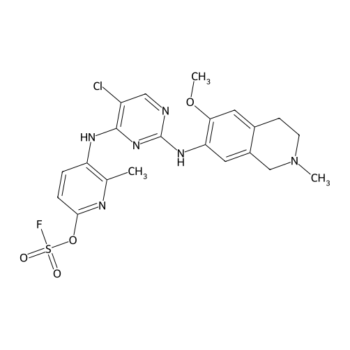 COc1cc2c(cc1Nc1ncc(Cl)c(Nc3ccc(OS(=O)(=O)F)nc3C)n1)CN(C)CC2